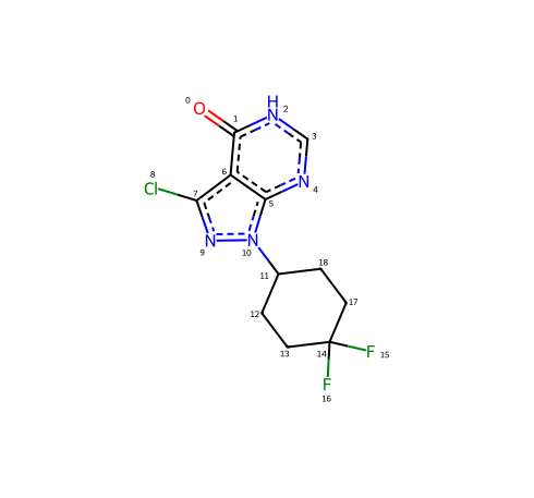 O=c1[nH]cnc2c1c(Cl)nn2C1CCC(F)(F)CC1